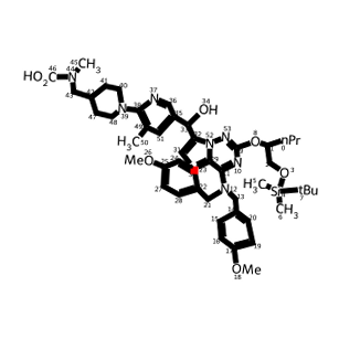 CCCC(CO[Si](C)(C)C(C)(C)C)Oc1nc(N(Cc2ccc(OC)cc2)Cc2ccc(OC)cc2)c2ncc(C(O)c3cnc(N4CCC(CN(C)C(=O)O)CC4)c(C)c3)n2n1